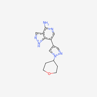 Nc1ncc(-c2cnn(C3CCOCC3)c2)c2[nH]ncc12